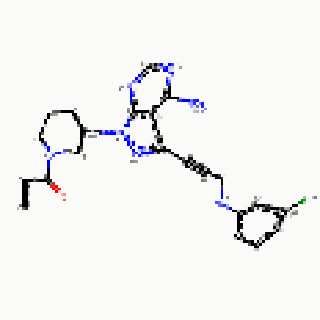 C=CC(=O)N1CCC[C@@H](n2nc(C#CCNc3cccc(F)c3)c3c(N)ncnc32)C1